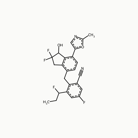 CCC(F)c1cc(F)cc(C#N)c1Cc1ccc(-c2cnc(C)o2)c2c1CC(F)(F)C2O